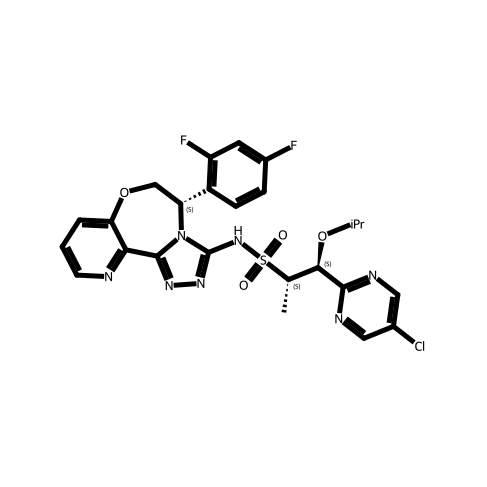 CC(C)O[C@@H](c1ncc(Cl)cn1)[C@H](C)S(=O)(=O)Nc1nnc2n1[C@@H](c1ccc(F)cc1F)COc1cccnc1-2